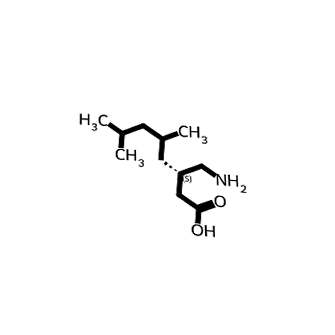 CC(C)CC(C)C[C@H](CN)CC(=O)O